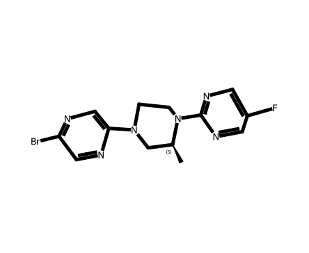 C[C@H]1CN(c2cnc(Br)cn2)CCN1c1ncc(F)cn1